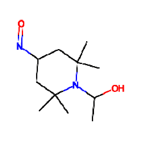 CC(O)N1C(C)(C)CC(N=O)CC1(C)C